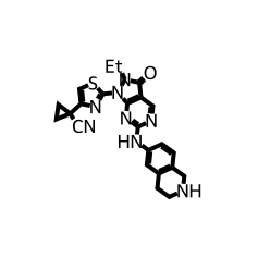 CCn1c(=O)c2cnc(Nc3ccc4c(c3)CCNC4)nc2n1-c1nc(C2(C#N)CC2)cs1